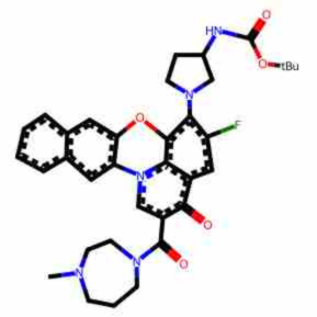 CN1CCCN(C(=O)c2cn3c4c(c(N5CCC(NC(=O)OC(C)(C)C)C5)c(F)cc4c2=O)Oc2cc4ccccc4cc2-3)CC1